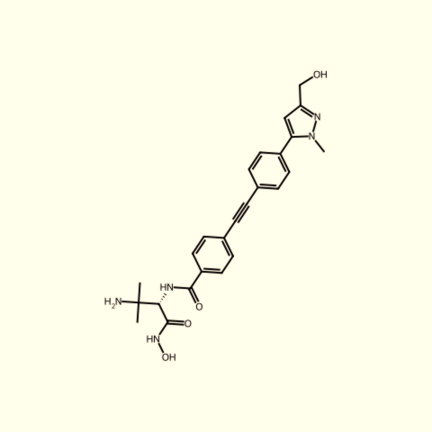 Cn1nc(CO)cc1-c1ccc(C#Cc2ccc(C(=O)N[C@H](C(=O)NO)C(C)(C)N)cc2)cc1